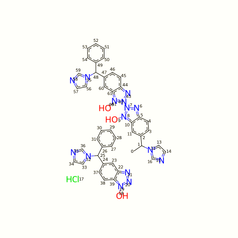 CC(c1ccc2nnn(O)c2c1)n1ccnc1.Cl.On1nnc2cc(C(c3ccccc3)n3ccnc3)ccc21.On1nnc2ccc(C(c3ccccc3)n3ccnc3)cc21